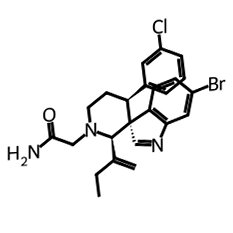 C=C(CC)[C@H]1N(CC(N)=O)CC[C@@H](c2cccc(Cl)c2)[C@]12C=Nc1cc(Br)ccc12